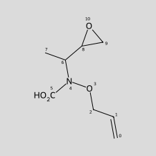 C=CCON(C(=O)O)C(C)C1CO1